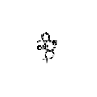 Cc1cccc2ncc3c([n+](=O)c12)CC(C)(C)CC3